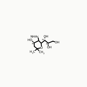 CC(=O)NC1C([C@H](O)[C@H](O)CO)OC(C)(C)C[C@H]1O